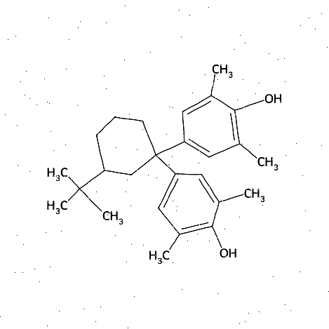 Cc1cc(C2(c3cc(C)c(O)c(C)c3)CCCC(C(C)(C)C)C2)cc(C)c1O